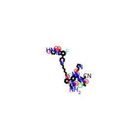 C=C(Cl)C(=O)N1CCN(c2nc(OCC3CCCN3C)nc3c(F)c(-c4c(F)cccc4OCCCCCCCN4CCC(c5cc(F)cc6c5CN(C5CCC(=O)NC5=O)C6=O)CC4)c(-n4ccc(N)nc4=O)cc23)CC1CC#N